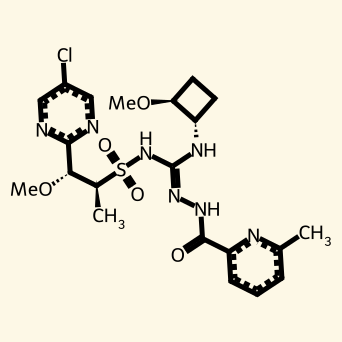 CO[C@H]1CC[C@@H]1N/C(=N\NC(=O)c1cccc(C)n1)NS(=O)(=O)[C@@H](C)[C@H](OC)c1ncc(Cl)cn1